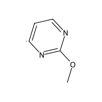 COc1n[c]ccn1